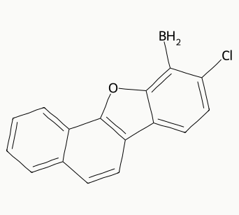 Bc1c(Cl)ccc2c1oc1c3ccccc3ccc21